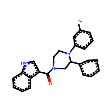 CC(C)c1[c]ccc(N2CCN(C(=O)c3c[nH]c4ccccc34)CC2c2ccccc2)c1